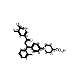 Cc1ccccc1C(CC(=O)c1c[nH]c(=O)c(C)c1)c1ccc(N2CCC(C(=O)O)CC2)cc1